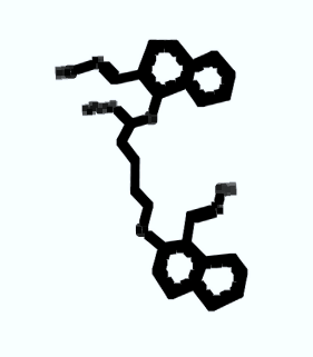 CCCCCC(CCCCOc1ccc2ccccc2c1C=NO)Oc1c(C=NO)ccc2ccccc12